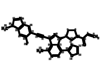 C=CC(=O)N1CC[C@H](n2nc(C#Cc3cc4ncn(C)c4cc3F)c3c(N)ncc(-c4ncco4)c32)C1